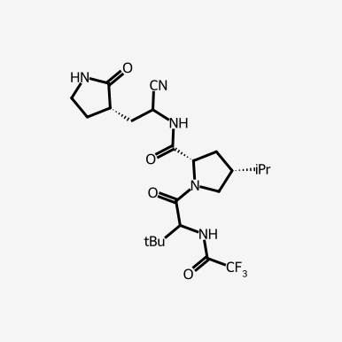 CC(C)[C@H]1C[C@@H](C(=O)NC(C#N)C[C@@H]2CCNC2=O)N(C(=O)C(NC(=O)C(F)(F)F)C(C)(C)C)C1